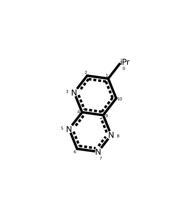 CC(C)c1cnc2ncnnc2c1